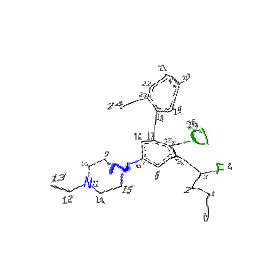 CCCC(F)c1cc(N2CCN(CC)CC2)cc(-c2ccccc2C)c1Cl